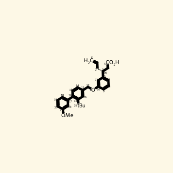 C=CC[C@H](CC(=O)O)c1cccc(OCc2ccc(-c3cccc(OC)c3)c(C(C)(C)C)c2)c1